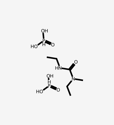 CCNC(=O)N(C)CC.O=[PH](O)O.O=[PH](O)O